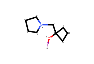 IOC1(CN2CCCC2)CCC1